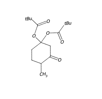 CC1CCC(OC(=O)C(C)(C)C)(OC(=O)C(C)(C)C)CC1=O